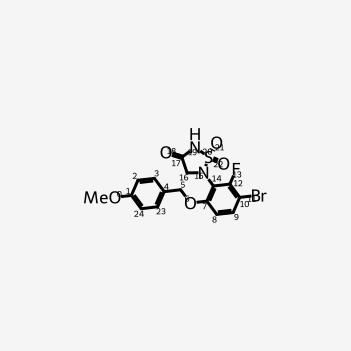 COc1ccc(COc2ccc(Br)c(F)c2N2CC(=O)NS2(=O)=O)cc1